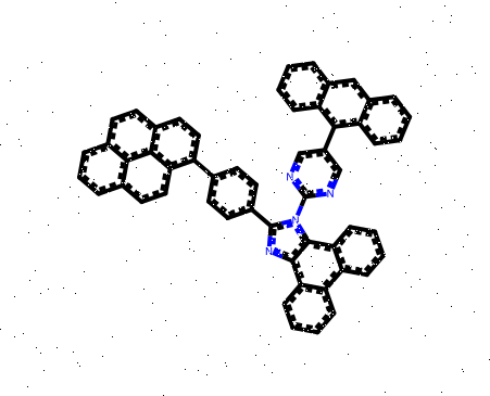 c1ccc2c(-c3cnc(-n4c(-c5ccc(-c6ccc7ccc8cccc9ccc6c7c89)cc5)nc5c6ccccc6c6ccccc6c54)nc3)c3ccccc3cc2c1